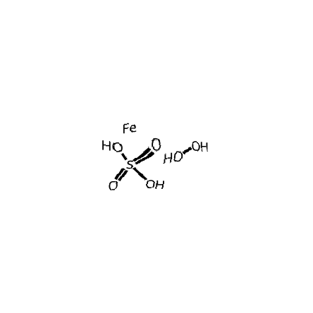 O=S(=O)(O)O.OO.[Fe]